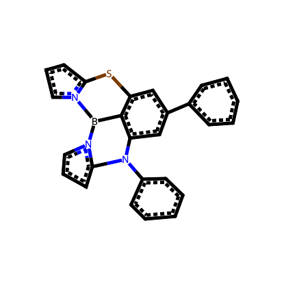 c1ccc(-c2cc3c4c(c2)N(c2ccccc2)c2cccn2B4n2cccc2S3)cc1